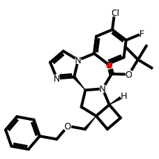 CC(C)(C)OC(=O)N1[C@H](c2nccn2-c2ccc(F)c(Cl)c2)C[C@@]2(COCc3ccccc3)CC[C@@H]12